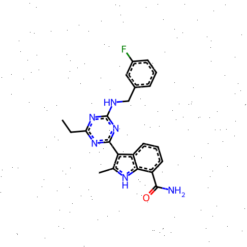 CCc1nc(NCc2cccc(F)c2)nc(-c2c(C)[nH]c3c(C(N)=O)cccc23)n1